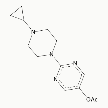 CC(=O)Oc1cnc(N2CCN(C3CC3)CC2)nc1